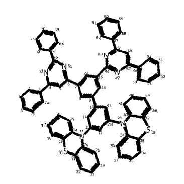 c1ccc(-c2cc(-c3cc(-c4cc(N5c6ccccc6Sc6ccccc65)cc(N5c6ccccc6Sc6ccccc65)c4)cc(-c4nc(-c5ccccc5)cc(-c5ccccc5)n4)c3)nc(-c3ccccc3)n2)cc1